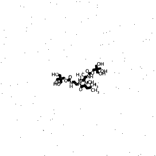 CC(C)CC(C(=O)NCCNC(=O)OCC(CO)(CO)CO)N(C)C(=O)C(C)NC(=O)OCC(CO)(CO)CO